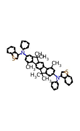 Cc1cc(N(c2ccccc2)c2csc3ccccc23)cc2c1-c1cc3c(cc1C2(C)C)-c1c(C)cc(N(c2ccccc2)c2csc4ccccc24)cc1C3(C)C